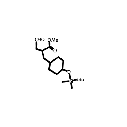 COC(=O)C(CC=O)CC1CCC(O[Si](C)(C)C(C)(C)C)CC1